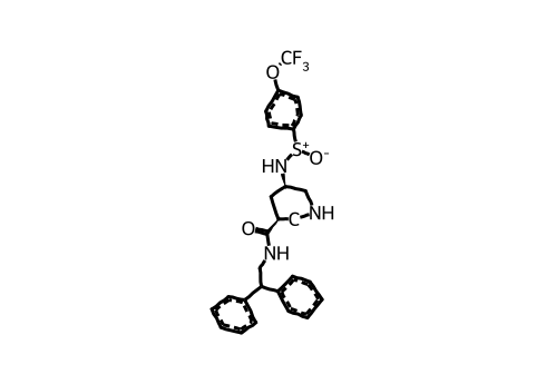 O=C(NCC(c1ccccc1)c1ccccc1)[C@@H]1CNC[C@H](N[S+]([O-])c2ccc(OC(F)(F)F)cc2)C1